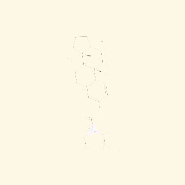 C[C@H]1CC[C@H]2[C@@H]3CCc4cc(OC(=O)N(CCCl)CCCl)ccc4[C@H]3CC[C@]12C